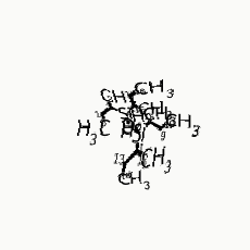 CCC(C)[SiH](O[SiH](C(C)CC)C(C)CC)C(C)CC